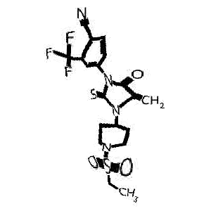 C=C1C(=O)N(c2ccc(C#N)c(C(F)(F)F)c2)C(=S)N1C1CCN(S(=O)(=O)CC)CC1